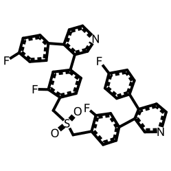 O=S(=O)(Cc1ccc(-c2cnccc2-c2ccc(F)cc2)cc1F)Cc1ccc(-c2cnccc2-c2ccc(F)cc2)cc1F